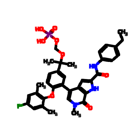 CCc1ccc(NC(=O)c2cc3c(-c4cc(C(C)(C)OCOP(=O)(O)O)ccc4Oc4c(C)cc(F)cc4C)cn(C)c(=O)c3[nH]2)cc1